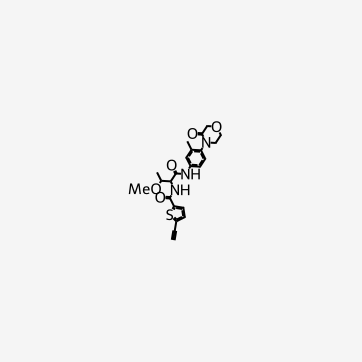 C#Cc1ccc(C(=O)NC(C(=O)Nc2ccc(N3CCOCC3=O)c(C)c2)C(C)OC)s1